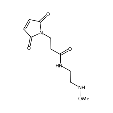 CONCCNC(=O)CCN1C(=O)C=CC1=O